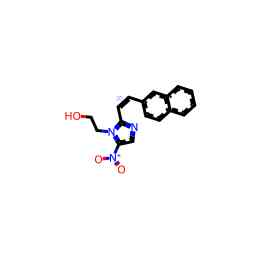 O=[N+]([O-])c1cnc(/C=C\c2ccc3ccccc3c2)n1CCO